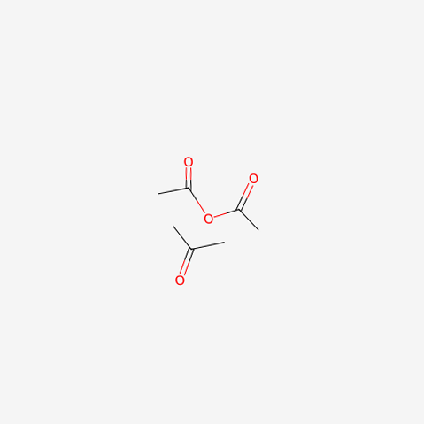 CC(=O)OC(C)=O.CC(C)=O